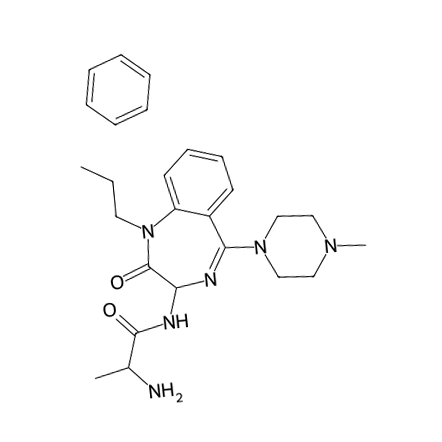 CCCN1C(=O)C(NC(=O)C(C)N)N=C(N2CCN(C)CC2)c2ccccc21.c1ccccc1